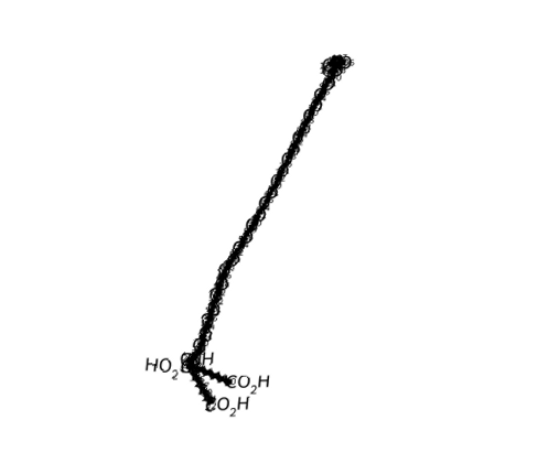 O=C(O)CCCCCCCCCCC(CCCCCCCCCCC(=O)O)(C(=O)O)C(=O)NCCOCCOCCOCCOCCOCCOCCOCCOCCOCCOCCOCCOCCOCCOCCOCCOCCOCCOCCOCCOCCOCCOCCOCCOCCC(=O)ON1C(=O)CCC1=O